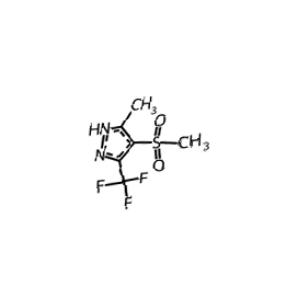 Cc1[nH]nc(C(F)(F)F)c1S(C)(=O)=O